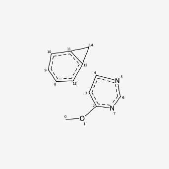 COc1ccncn1.c1ccc2c(c1)C2